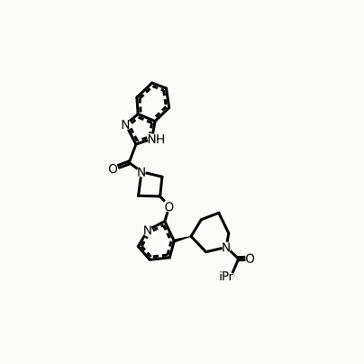 CC(C)C(=O)N1CCC[C@H](c2cccnc2OC2CN(C(=O)c3nc4ccccc4[nH]3)C2)C1